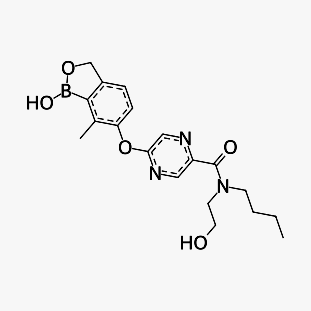 CCCCN(CCO)C(=O)c1cnc(Oc2ccc3c(c2C)B(O)OC3)cn1